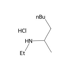 CCCCCC(C)NCC.Cl